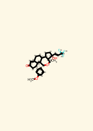 COc1ccc([C@H]2OC[C@@]3(C)C(CC[C@@]3(O)C=CC(F)(F)F)C3CCC4=CC(=O)CCC4=C32)cc1